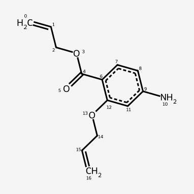 C=CCOC(=O)c1ccc(N)cc1OCC=C